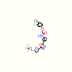 O=C(COc1ccc(Cl)c(F)c1)NC12CC(C1)C(c1nnc(C3CC[C@H](COC(F)(F)F)O3)o1)C2